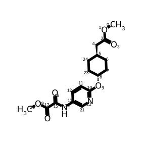 COC(=O)C[C@H]1CC[C@H](Oc2ccc(NC(=O)C(=O)OC)cn2)CC1